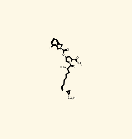 NC(=O)[C@@H]1C[C@@H](OC(=O)N2Cc3cccc(F)c3C2)CN1C(=O)[C@@H](N)CCCCC/C=C\[C@@H]1C[C@@H]1C(=O)O